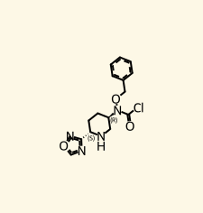 O=C(Cl)N(OCc1ccccc1)[C@@H]1CC[C@@H](c2ncon2)NC1